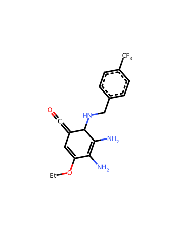 CCOC1=CC(=C=O)C(NCc2ccc(C(F)(F)F)cc2)C(N)=C1N